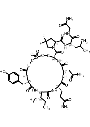 CC[C@H](C)[C@@H]1NC(=O)[C@H](Cc2ccc(O)cc2)NC(=O)CCS(=O)(=O)CC[C@@H](C(=O)N2CC(F)(F)C[C@H]2C(=O)N[C@@H](CC(C)C)C(=O)NCC(N)=O)NC(=O)[C@H](CC(N)=O)NC(=O)[C@H](CCC(N)=O)NC1=O